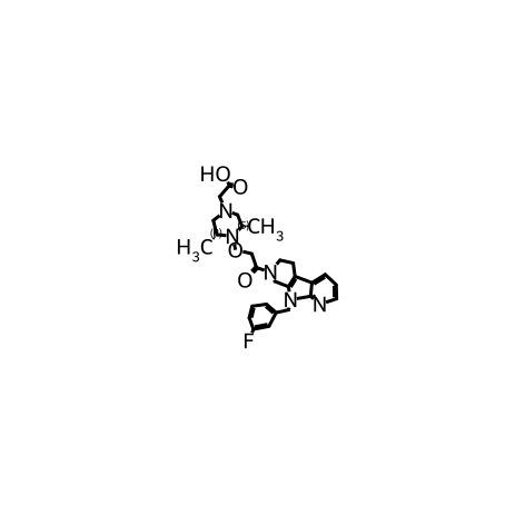 C[C@@H]1CN(CC(=O)O)C[C@H](C)N1OCC(=O)N1CCc2c(n(Cc3cccc(F)c3)c3ncccc23)C1